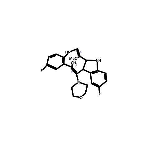 CO/C1=C\Nc2ccc(F)cc2/C(C)=C(\N2CCOCC2)C2c3cc(F)ccc3NC12